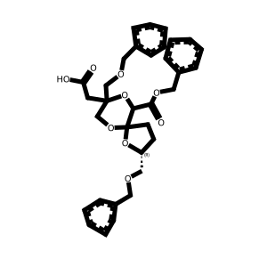 O=C(O)CC1(COCc2ccccc2)COC2(CC[C@H](COCc3ccccc3)O2)C(C(=O)OCc2ccccc2)O1